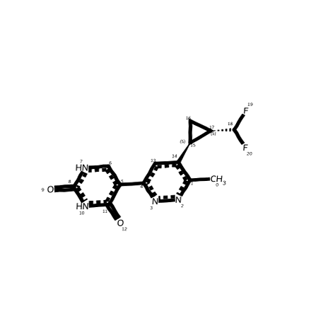 Cc1nnc(-c2c[nH]c(=O)[nH]c2=O)cc1[C@H]1C[C@@H]1C(F)F